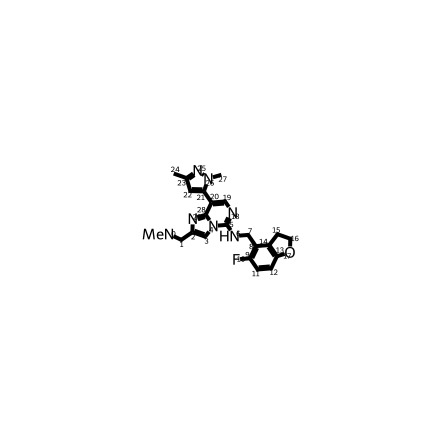 CNCc1cn2c(NCc3c(F)ccc4c3CCO4)ncc(-c3cc(C)nn3C)c2n1